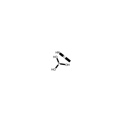 C=C=N.OP(O)O